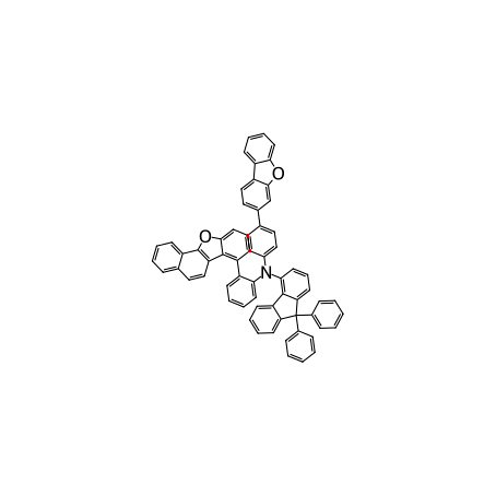 c1ccc(C2(c3ccccc3)c3ccccc3-c3c(N(c4ccc(-c5ccc6c(c5)oc5ccccc56)cc4)c4ccccc4-c4cccc5oc6c7ccccc7ccc6c45)cccc32)cc1